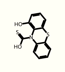 OC(=S)N1c2ccccc2Sc2cccc(O)c21